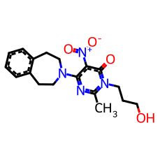 Cc1nc(N2CCc3ccccc3CC2)c([N+](=O)[O-])c(=O)n1CCCO